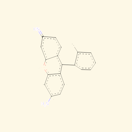 N=c1ccc2c(-c3ccccc3[N+](=O)[O-])c3ccc(N)cc3oc-2c1